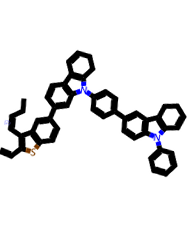 C=Cc1sc2ccc(-c3ccc4c5c(n(-c6ccc(-c7ccc8c(c7)c7c(n8-c8ccccc8)C=CCC7)cc6)c4c3)CCC=C5)cc2c1/C=C\CC